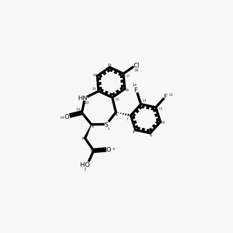 O=C(O)C[C@@H]1S[C@@H](c2cccc(F)c2F)c2cc(Cl)ccc2NC1=O